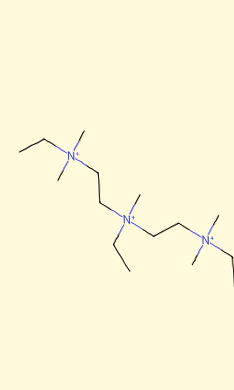 CC[N+](C)(C)CC[N+](C)(CC)CC[N+](C)(C)CC